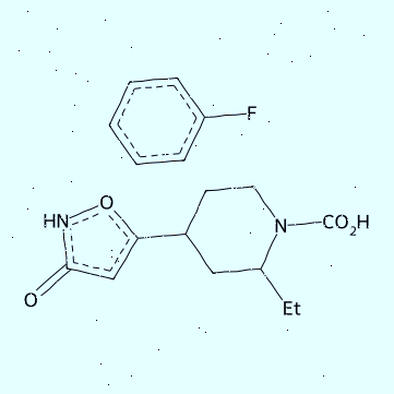 CCC1CC(c2cc(=O)[nH]o2)CCN1C(=O)O.Fc1ccccc1